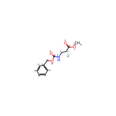 COC(=O)[C@H](F)CNC(=O)OCc1ccccc1